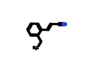 CCc1ccccc1C=CC#N